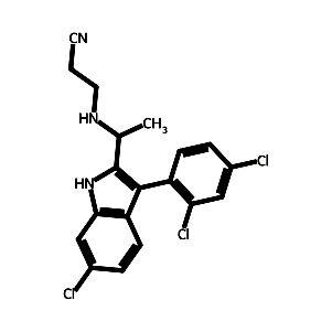 CC(NCCC#N)c1[nH]c2cc(Cl)ccc2c1-c1ccc(Cl)cc1Cl